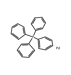 [Pd].c1ccc([P](c2ccccc2)(c2ccccc2)c2ccccc2)cc1